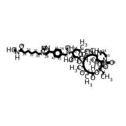 CC[C@H]1OC(=O)[C@H](C)C(=O)[C@H](C)[C@@H](O[C@@H]2O[C@H](C)C[C@H](N(C)Cc3ccc(-c4cn(CCCCCC(=O)NO)nn4)cc3)[C@@H]2O)[C@](C)(OC)C[C@@H](C)C2=NCCN3C(=O)O[C@@]1(C)[C@H]3[C@H]2C